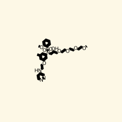 COCCOCCOCCOCC(O)CN(c1cc(C)cc(OCCNc2ccnnc2)c1)S(=O)(=O)c1ccccc1OC